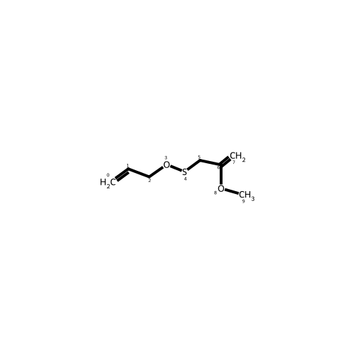 C=CCOSCC(=C)OC